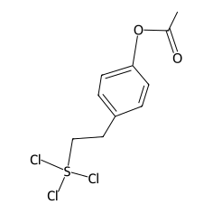 CC(=O)Oc1ccc(CCS(Cl)(Cl)Cl)cc1